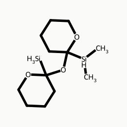 C[SiH](C)C1(OC2([SiH3])CCCCO2)CCCCO1